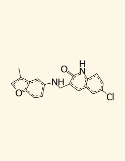 Cc1coc2ccc(NCc3cc4cc(Cl)ccc4[nH]c3=O)cc12